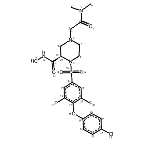 CN(C)C(=O)CN1CCN(S(=O)(=O)c2cc(F)c(Oc3ccc(Cl)cc3)c(F)c2)[C@@H](C(=O)NO)C1